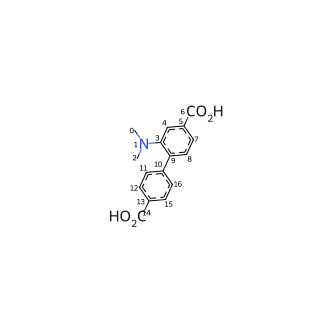 CN(C)c1cc(C(=O)O)ccc1-c1ccc(C(=O)O)cc1